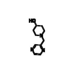 OC1CCN(Cc2cnccn2)CC1